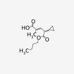 CCCCOC(=O)C(C=C(C)C(=O)O)=C1CC1